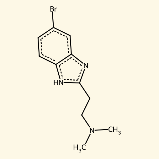 CN(C)CCc1nc2cc(Br)ccc2[nH]1